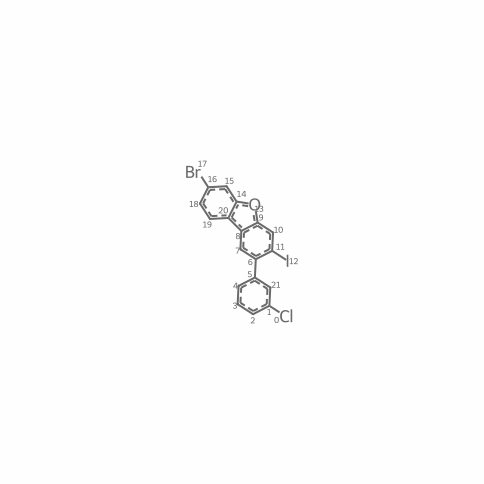 Clc1cccc(-c2cc3c(cc2I)oc2cc(Br)ccc23)c1